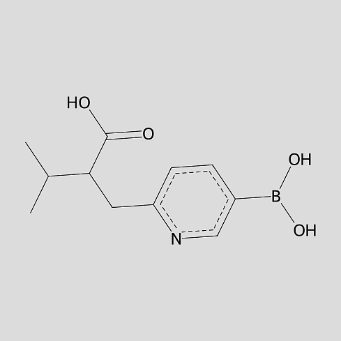 CC(C)C(Cc1ccc(B(O)O)cn1)C(=O)O